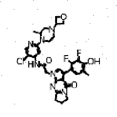 Cc1cc(-c2cn(CC(=O)Nc3cc(N4CCN(C5COC5)C[C@@H]4C)ncc3Cl)c3nc4n(c(=O)c23)CCC4)c(F)c(F)c1O